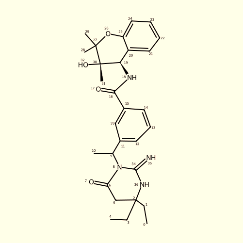 CCC1(CC)CC(=O)N(C(C)c2cccc(C(=O)N[C@@H]3c4ccccc4OC(C)(C)[C@@]3(C)O)c2)C(=N)N1